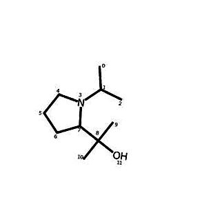 CC(C)N1CCCC1C(C)(C)O